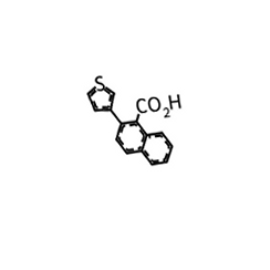 O=C(O)c1c(-c2ccsc2)ccc2ccccc12